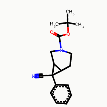 CC(C)(C)OC(=O)N1CCC2C(C1)C2(C#N)c1ccccc1